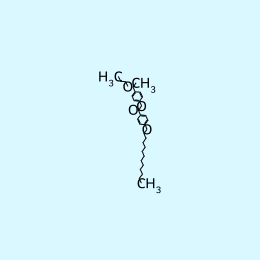 CCCCCCCCCCCCOc1ccc(C(=O)Oc2ccc(C(C)OCCC)cc2)cc1